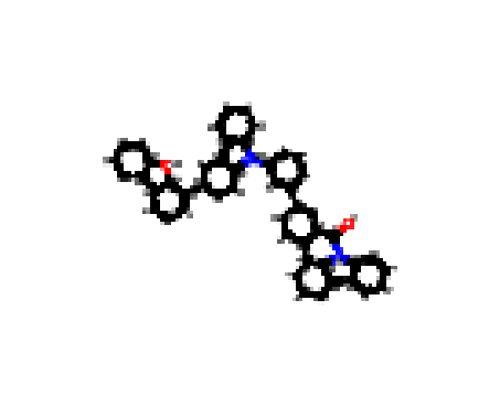 O=c1c2cc(-c3cccc(-n4c5ccccc5c5cc(-c6cccc7c6oc6ccccc67)ccc54)c3)ccc2c2cccc3c4ccccc4n1c23